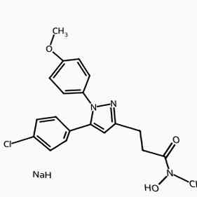 COc1ccc(-n2nc(CCC(=O)N(C)O)cc2-c2ccc(Cl)cc2)cc1.[NaH]